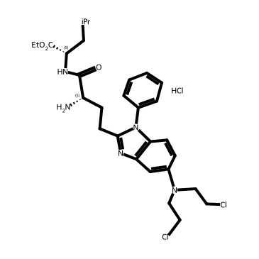 CCOC(=O)[C@H](CC(C)C)NC(=O)[C@@H](N)CCc1nc2cc(N(CCCl)CCCl)ccc2n1-c1ccccc1.Cl